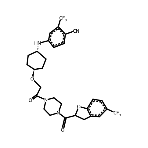 N#Cc1ccc(N[C@H]2CC[C@H](OCC(=O)N3CCN(C(=O)C4Cc5cc(C(F)(F)F)ccc5O4)CC3)CC2)cc1C(F)(F)F